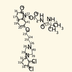 CC(C)C(N)C(=O)NCC(=O)OCn1c(=O)ccc2ccc(OCCCCN3CCN(c4cccc(Cl)c4Cl)CC3)cc21